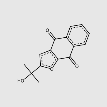 CC(C)(O)c1cc2c(o1)C(=O)c1ccccc1C2=O